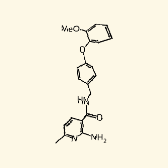 COc1ccccc1Oc1ccc(CNC(=O)c2ccc(C)nc2N)cc1